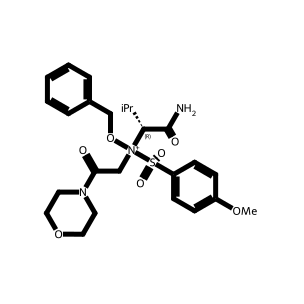 COc1ccc(S(=O)(=O)[N+](CC(=O)N2CCOCC2)(OCc2ccccc2)[C@@H](C(N)=O)C(C)C)cc1